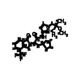 COC(C)(C)Cn1ccc(NC(=O)C(CC2CCCC2)N2Cc3c(cccc3C(F)(F)F)C2=O)n1